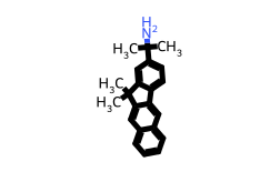 CC(C)(N)c1ccc2c(c1)C(C)(C)c1cc3ccccc3cc1-2